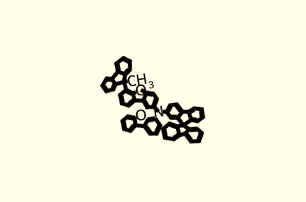 CC1(c2cccc3c2oc2ccc(N(c4ccc5c(c4)C4(c6ccccc6-c6ccccc64)c4ccccc4-5)c4cccc5c4oc4ccccc45)cc23)c2ccccc2-c2ccccc21